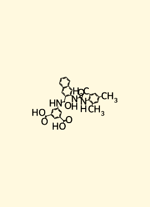 Cc1cc(C)c(NC(=O)Nc2cc3ccccc3cc2C(=O)Nc2cc(C(=O)O)cc(C(=O)O)c2)c(C)c1